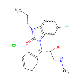 CCCn1c(=O)n([C@@H](C2=CC=CCC2)C(O)CNC)c2cc(F)ccc21.Cl